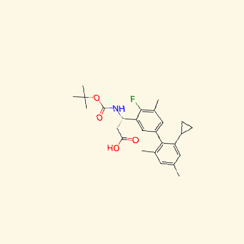 Cc1cc(C)c(-c2cc(C)c(F)c([C@H](CC(=O)O)NC(=O)OC(C)(C)C)c2)c(C2CC2)c1